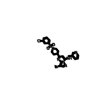 O=S(=O)(c1cccc(Cl)c1)N1CCC(c2cc(NCc3cccnc3)n3ncc(Br)c3n2)CC1